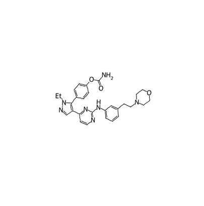 CCn1ncc(-c2ccnc(Nc3cccc(CCN4CCOCC4)c3)n2)c1-c1ccc(OC(N)=O)cc1